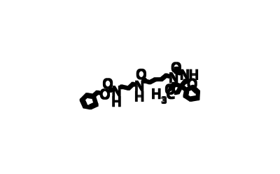 CCC1(c2ccccc2)C(=O)NC(=O)N(CCCCC(=O)NCCCNC(=O)OCc2ccccc2)C1=O